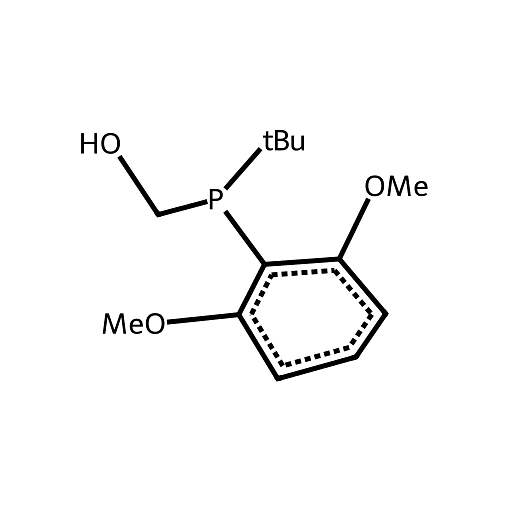 COc1cccc(OC)c1P(CO)C(C)(C)C